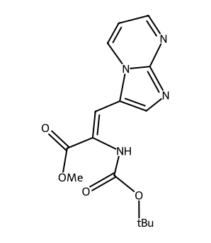 COC(=O)/C(=C/c1cnc2ncccn12)NC(=O)OC(C)(C)C